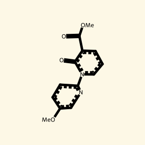 COC(=O)c1cccn(-c2ccc(OC)cn2)c1=O